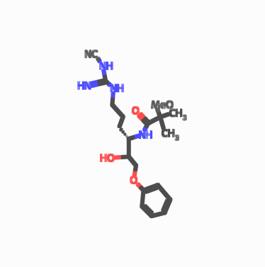 COC(C)(C)C(=O)N[C@@H](CCCNC(=N)NC#N)C(O)COc1ccccc1